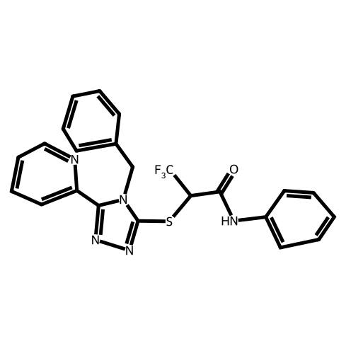 O=C(Nc1ccccc1)C(Sc1nnc(-c2ccccn2)n1Cc1ccccc1)C(F)(F)F